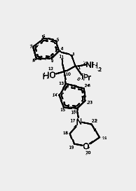 CC(C)C(N)(Cc1ccccc1)C(C)(O)c1ccc(N2CCOCC2)cc1